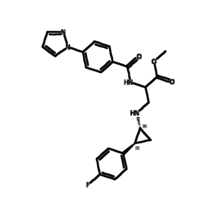 COC(=O)C(CN[C@@H]1C[C@H]1c1ccc(F)cc1)NC(=O)c1ccc(-n2cccn2)cc1